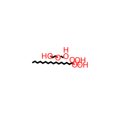 CCCCCCCCCCCCCCCC(=O)OB(O)O.OCCOCCO